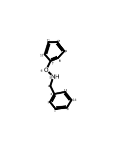 c1ccc(CNOc2ccccc2)cc1